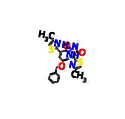 Cc1csc(-c2cc(OCc3ccccc3)c[nH]c2=O)n1.Cc1csc(CC(N)=O)n1